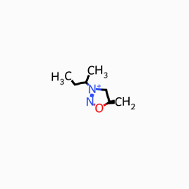 C=C1C[N+](C(C)CC)=NO1